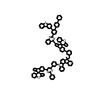 CC1(Cc2cccc(-c3ccc4c(c3)C3(c5ccccc5Oc5ccccc53)c3cc(-c5nc(-c6ccc(-c7ccc(-c8ccccc8)cc7)c(-c7ccc8sc9ccccc9c8c7)c6)nc6ccccc56)ccc3-4)c2)c2ccccc2-c2c1ccc1c2c2ccccc2n1-c1cccc(-c2cc(-c3ccc4c(c3)C3(c5ccccc5Oc5ccccc53)c3ccccc3-4)nc(-c3ccccc3)n2)c1